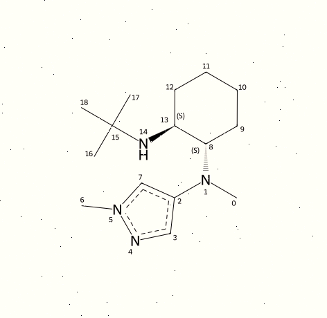 CN(c1cnn(C)c1)[C@H]1CCCC[C@@H]1NC(C)(C)C